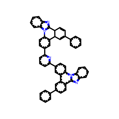 C1=CC2c3nc4ccccc4n3-c3ccc(-c4cccc(-c5ccc6c(c5)c5cc(-c7ccccc7)ccc5c5nc7ccccc7n65)n4)cc3C2C=C1c1ccccc1